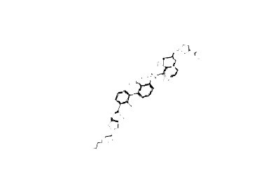 Cc1c(-c2nc3c(s2)CN(C(=O)CNCCO)C3)cccc1-c1cccc(Nc2nccc3cc(CN4CC[C@@H](C(=O)O)C4)cnc23)c1Cl